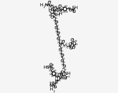 CC(C)[C@H](NC(=O)CCOCCOCCOCCOCCN(CCOCCOCCOCCOCCC(=O)N[C@H](C(=O)NC(CCCNC(N)=O)C(=O)Nc1ccc(COC(=O)S)cc1)C(C)C)C(=O)CCCC(=O)ON1C(=O)CCC1=O)C(=O)NC(CCCNC(N)=O)C(=O)Nc1ccc(COC(=O)S)cc1